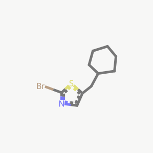 Brc1ncc(CC2CCCCC2)s1